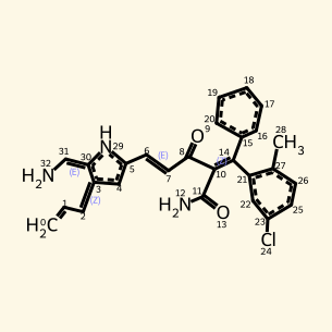 C=C/C=c1/cc(/C=C/C(=O)/C(C(N)=O)=C(\c2ccccc2)c2cc(Cl)ccc2C)[nH]/c1=C/N